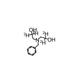 [2H]C([2H])(O)CN(Cc1ccccc1)CC([2H])([2H])O